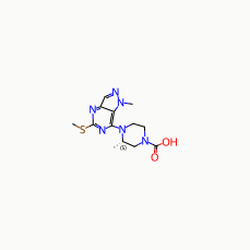 CSc1nc(N2CCN(C(=O)O)C[C@@H]2C)c2c(cnn2C)n1